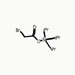 CC(C)[Si](OC(=O)CBr)(C(C)C)C(C)C